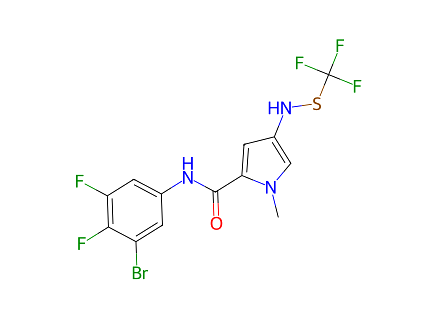 Cn1cc(NSC(F)(F)F)cc1C(=O)Nc1cc(F)c(F)c(Br)c1